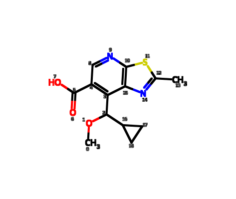 COC(c1c(C(=O)O)cnc2sc(C)nc12)C1CC1